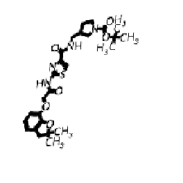 CC(C)(C)OC(=O)N1CCC(CNC(=O)c2csc(NC(=O)COc3cccc4c3OC(C)(C)C4)n2)C1